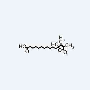 CC1=C(C)C(O)(CCCCCCCCCCC(=O)O)OC1=O